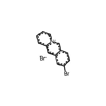 Brc1ccc2c[n+]3ccccc3cc2c1.[Br-]